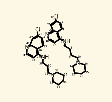 Clc1ccc2c(NCCCCN3CCCCC3)ccnc2c1.Clc1ccc2c(NCCCN3CCCCC3)ccnc2c1